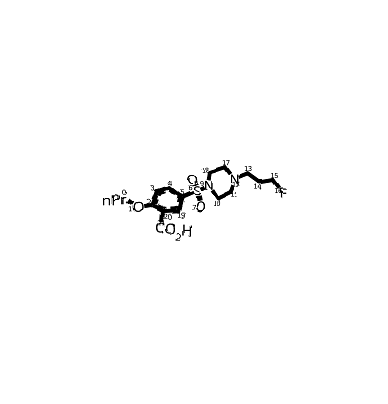 CCCOc1ccc(S(=O)(=O)N2CCN(CCCF)CC2)cc1C(=O)O